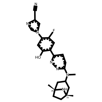 CN(c1ccc(-c2cc(F)c(-n3cnc(C#N)c3)cc2O)nn1)C1C[C@]2(C)CC[C@](C)(C1)N2